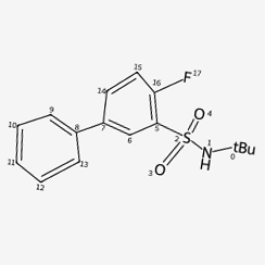 CC(C)(C)NS(=O)(=O)c1cc(-c2ccccc2)ccc1F